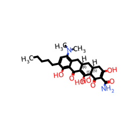 CCCCCc1cc(N(C)C)c2c(c1O)C(=O)C1=C(O)[C@]3(O)C(=O)C(C(N)=O)=C(O)C[C@@H]3C[C@@H]1C2